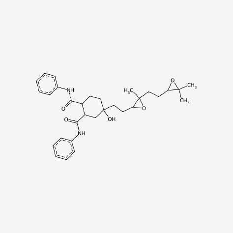 CC1(C)OC1CCC1(C)OC1CCC1(O)CCC(C(=O)Nc2ccccc2)C(C(=O)Nc2ccccc2)C1